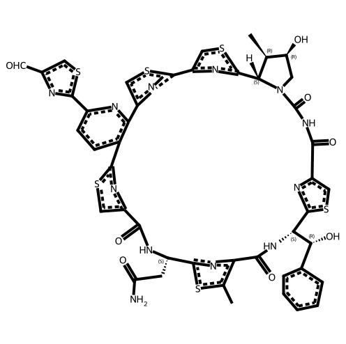 Cc1sc2nc1C(=O)N[C@@H]([C@H](O)c1ccccc1)c1nc(cs1)C(=O)NC(=O)N1C[C@H](O)[C@H](C)[C@H]1c1nc(cs1)-c1nc(cs1)-c1nc(-c3nc(C=O)cs3)ccc1-c1nc(cs1)C(=O)N[C@H]2CC(N)=O